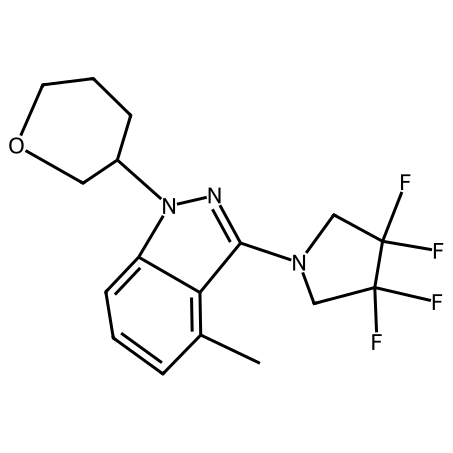 Cc1cccc2c1c(N1CC(F)(F)C(F)(F)C1)nn2C1CCCOC1